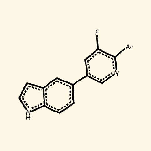 CC(=O)c1ncc(-c2ccc3[nH]ccc3c2)cc1F